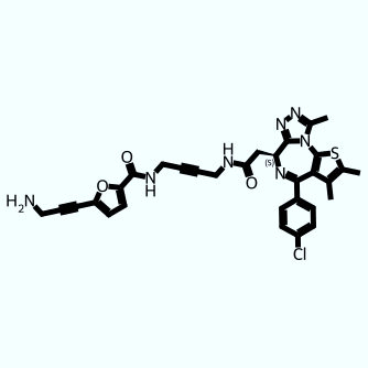 Cc1sc2c(c1C)C(c1ccc(Cl)cc1)=N[C@@H](CC(=O)NCC#CCNC(=O)c1ccc(C#CCN)o1)c1nnc(C)n1-2